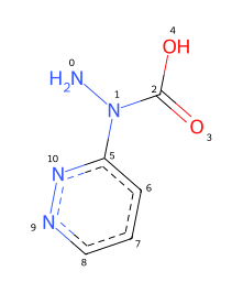 NN(C(=O)O)c1cccnn1